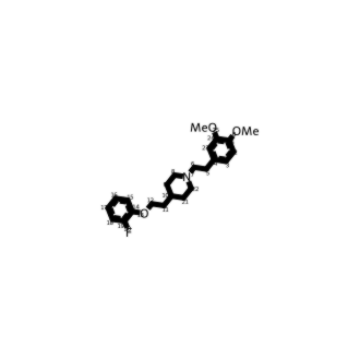 COc1ccc(CCN2CCC(CCOc3ccccc3F)CC2)cc1OC